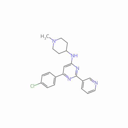 CN1CCC(Nc2cc(-c3ccc(Cl)cc3)nc(-c3cccnc3)n2)CC1